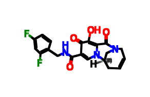 O=C(NCc1ccc(F)cc1F)c1cn2c(c(O)c1=O)C(=O)N1CC=CC[C@@H]2C1